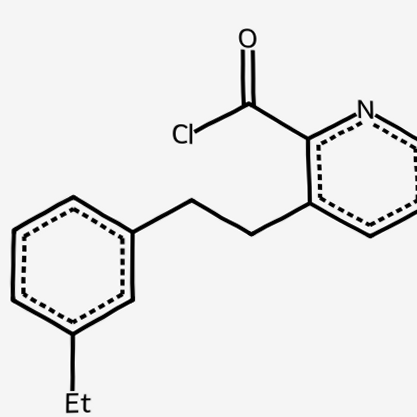 CCc1cccc(CCc2cccnc2C(=O)Cl)c1